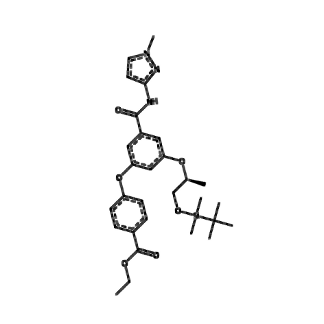 CCOC(=O)c1ccc(Oc2cc(O[C@@H](C)CO[Si](C)(C)C(C)(C)C)cc(C(=O)Nc3ccn(C)n3)c2)cc1